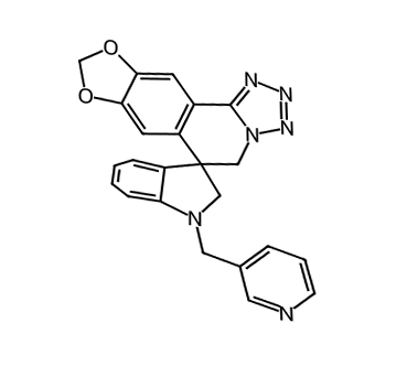 c1cncc(CN2CC3(Cn4nnnc4-c4cc5c(cc43)OCO5)c3ccccc32)c1